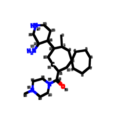 CC1CC2(CCCCCC2)CC(C(=O)N2CCN(C)CC2)CCC1C1CCNCC1N